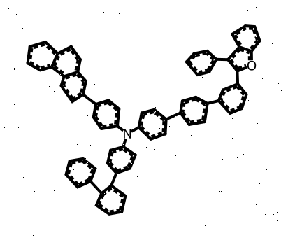 c1ccc(-c2ccccc2-c2ccc(N(c3ccc(-c4ccc(-c5cccc(-c6oc7ccccc7c6-c6ccccc6)c5)cc4)cc3)c3ccc(-c4ccc5c(ccc6ccccc65)c4)cc3)cc2)cc1